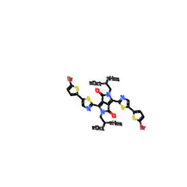 CCCCCCCCC(CCCCCC)CN1C(=O)C2=C(c3ncc(-c4ccc(Br)s4)s3)N(CC(CCCCCC)CCCCCCCC)C(=O)C2=C1c1ncc(-c2ccc(Br)s2)s1